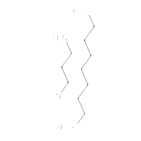 NCCCN.O=C(O)CCCCCCCC(=O)O